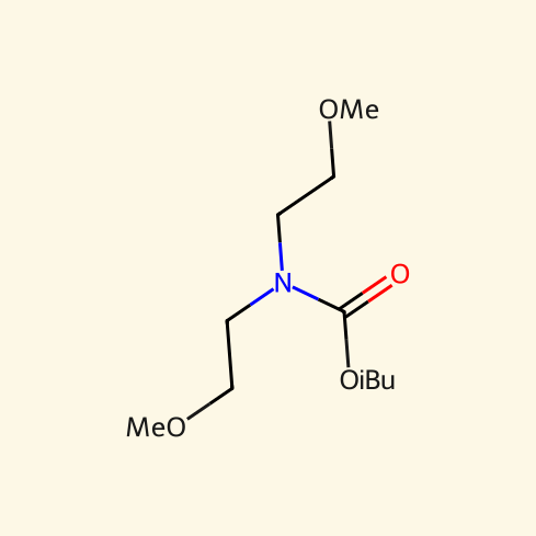 COCCN(CCOC)C(=O)OCC(C)C